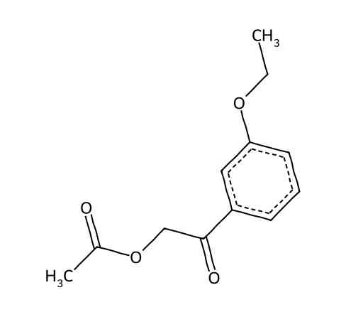 CCOc1cccc(C(=O)COC(C)=O)c1